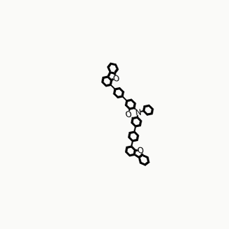 c1ccc(N2c3ccc(-c4ccc(-c5cccc6c5oc5ccccc56)cc4)cc3Oc3cc(-c4ccc(-c5cccc6c5oc5ccccc56)cc4)ccc32)cc1